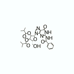 CC(C)C(=O)O[C@@H]1[C@H](OC(=O)C(C)C)[C@@H](CO)O[C@H]1n1cnc2c(=O)[nH]c(NC(=O)c3ccccc3)nc21